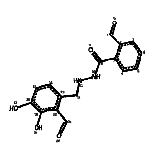 O=Cc1ccccc1C(=O)NNCc1ccc(O)c(O)c1C=O